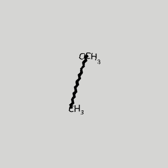 CCCCCC=CCC=CCC=CCCCCC(C)=O